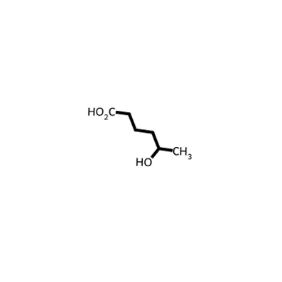 CC(O)CCCC(=O)O